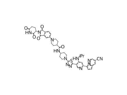 CC(C)Nc1cc(-c2ccc3cc(C#N)cnn23)ncc1-c1nnc(N2CCC(NC(=O)C3CCN(c4ccc5c(c4)C(=O)N(C4CCC(=O)NC4=O)C5=O)CC3)CC2)s1